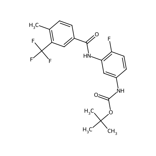 Cc1ccc(C(=O)Nc2cc(NC(=O)OC(C)(C)C)ccc2F)cc1C(F)(F)F